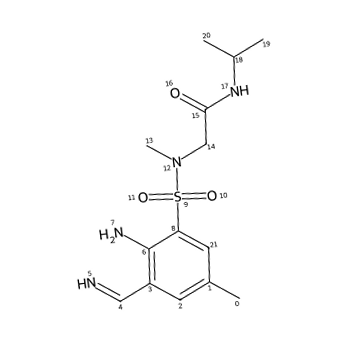 Cc1cc(C=N)c(N)c(S(=O)(=O)N(C)CC(=O)NC(C)C)c1